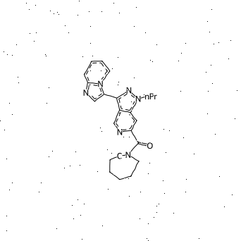 CCCn1nc(-c2cnc3ccccn23)c2cnc(C(=O)N3CCCCCC3)cc21